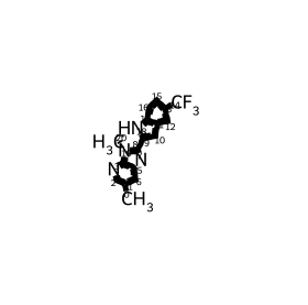 Cc1cnc2c(c1)nc(-c1cc3cc(C(F)(F)F)ccc3[nH]1)n2C